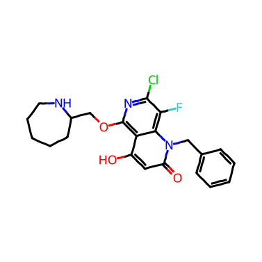 O=c1cc(O)c2c(OCC3CCCCCN3)nc(Cl)c(F)c2n1Cc1ccccc1